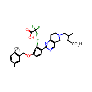 Cc1ccc(C(F)(F)F)c(COc2ccc(-c3ncc4c(n3)CCN(CC(C)CC(=O)O)C4)c(F)c2)c1.O=C(O)C(F)(F)F